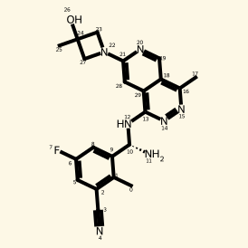 Cc1c(C#N)cc(F)cc1[C@@H](N)Nc1nnc(C)c2cnc(N3CC(C)(O)C3)cc12